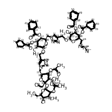 CC[C@H]1O[C@H](O[C@]2(CCl)O[C@H](Cn3cc(CO[C@H]4O[C@H](Cn5cc(CO[C@H]6O[C@H](CN=[N+]=[N-])[C@@H](OC(=O)c7ccccc7)[C@H](OC(=O)c7ccccc7)[C@@H]6C)nn5)[C@@H](OC(=O)c5ccccc5)[C@H](OC(=O)c5ccccc5)[C@@H]4C)nn3)[C@@H](OC(C)=O)[C@@H]2C)[C@H](OC(C)=O)[C@@H](C)[C@H]1Cl